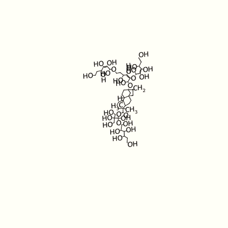 C=C1C[C@@]23CCC4C(C)(CCC[C@@]4(C)C(=O)OC(O)(OC(O)C(O)C(O)C(O)CCO)C(O)(CO)CO)[C@@H]2CC[C@]1(OC(O)/C(OC(O)/C(O)=C(/O)[C@@H](O)CCO)=C(/O)C(O)CCOC(O)/C(O)=C(/O)C(O)CCO)C3